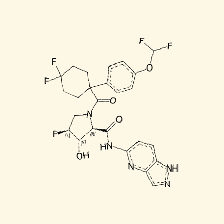 O=C(Nc1ccc2[nH]ncc2n1)[C@H]1[C@H](O)[C@@H](F)CN1C(=O)C1(c2ccc(OC(F)F)cc2)CCC(F)(F)CC1